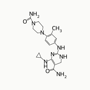 Cc1cc(NC2=NC(NC3CC3)=C(C(N)=O)CN2)ccc1N1CCN(C(N)=O)CC1